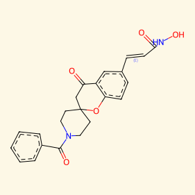 O=C(/C=C/c1ccc2c(c1)C(=O)CC1(CCN(C(=O)c3ccccc3)CC1)O2)NO